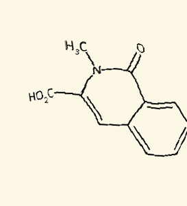 Cn1c(C(=O)O)cc2ccccc2c1=O